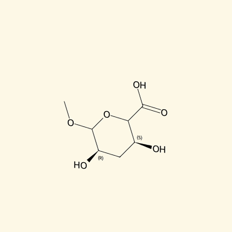 COC1OC(C(=O)O)[C@@H](O)C[C@H]1O